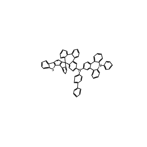 c1ccc(-c2ccc(N(c3ccc4c(c3)-c3ccccc3N(c3ccccc3)c3ccccc3-4)c3ccc4c(c3)-c3ccccc3-c3ccccc3C43c4ccccc4-c4c3ccc3c4sc4ccccc43)cc2)cc1